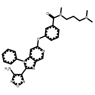 CN(C)CCCN(C)C(=O)c1cccc(Oc2cc3c(cn2)nc(-c2nonc2N)n3-c2ccccc2)c1